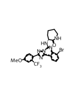 COc1ccc(-c2nc3c4cccc(Br)c4nc(N[C@@H]4CCCCNC4=O)n3n2)c(C(F)(F)F)c1